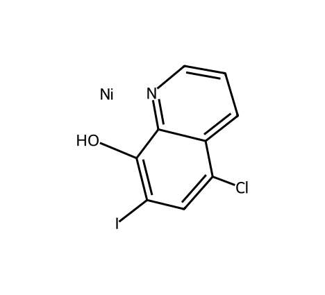 Oc1c(I)cc(Cl)c2cccnc12.[Ni]